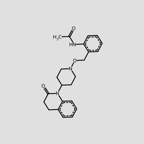 CC(=O)Nc1ccccc1CON1CCC(N2C(=O)CCc3ccccc32)CC1